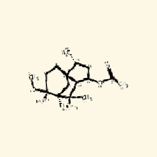 CO[C@]1(C)CCC23C[C@H]1C(C)(C)C2C(OC(C)=O)C[C@H]3C